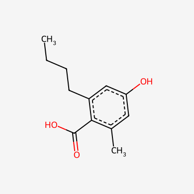 CCCCc1cc(O)cc(C)c1C(=O)O